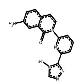 CC(C)n1cnnc1-c1cccc(-n2ccc3ccc(N)cc3c2=O)n1